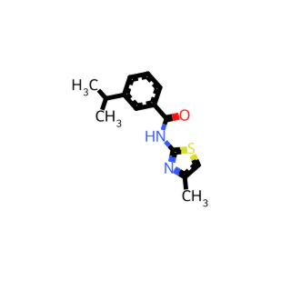 Cc1csc(NC(=O)c2cccc(C(C)C)c2)n1